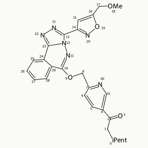 CCCC(C)CC(=O)c1ccc(COc2nn3c(-c4cc(COC)on4)nnc3c3ccccc23)nc1